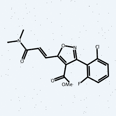 COC(=O)c1c(-c2c(F)cccc2Cl)noc1/C=C/C(=O)N(C)C